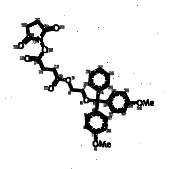 COc1ccc(C(OCCOC(=O)CCC(=O)ON2C(=O)CCC2=O)(c2ccccc2)c2ccc(OC)cc2)cc1